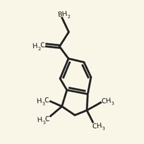 BCC(=C)c1ccc2c(c1)C(C)(C)CC2(C)C